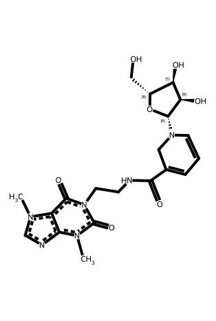 Cn1cnc2c1c(=O)n(CCNC(=O)C1=CC=CN([C@@H]3O[C@H](CO)[C@@H](O)[C@H]3O)C1)c(=O)n2C